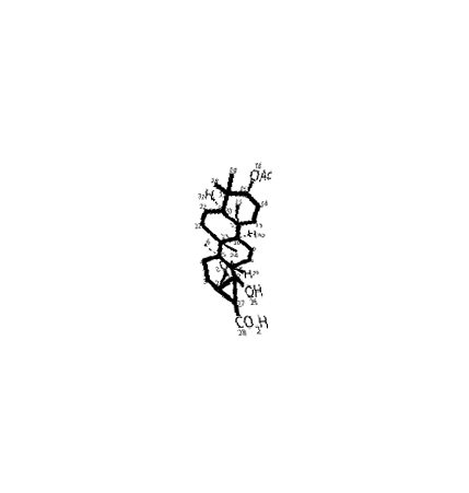 CC(=O)OC[C@@]12CC[C@]3(C)[C@H](CC[C@@H]4[C@@]5(C)CC[C@H](OC(C)=O)C(C)(C)[C@@H]5CC[C@]43C)C1(O)C2C(=O)O